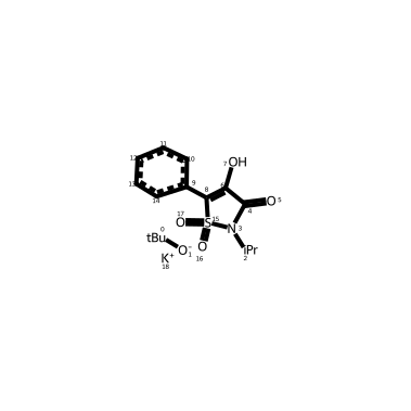 CC(C)(C)[O-].CC(C)N1C(=O)C(O)=C(c2ccccc2)S1(=O)=O.[K+]